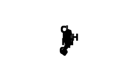 Fc1cc(Cl)ccc1Nc1ncnc2c1ncn2C#CC1CCCO1